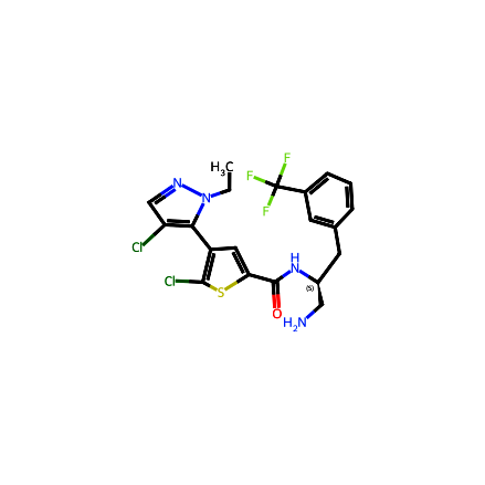 CCn1ncc(Cl)c1-c1cc(C(=O)N[C@H](CN)Cc2cccc(C(F)(F)F)c2)sc1Cl